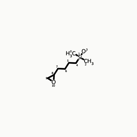 C[Si](C)([O])CCCCC1CO1